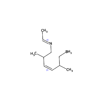 BCC(C)/C=C\C(C)C/N=C/C